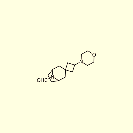 O=CN1C2CCC1CC1(CC(N3CCOCC3)C1)C2